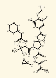 CCOc1c(F)cc(C2=NO[C@]3(C2)C[C@@H](C(=O)N[C@@H](CC2CC2)C(=O)C(N)=O)N(C(=O)[C@@H](NC(=O)CC2CCCCC2)C(C)(C)C)C3)cc1Cl